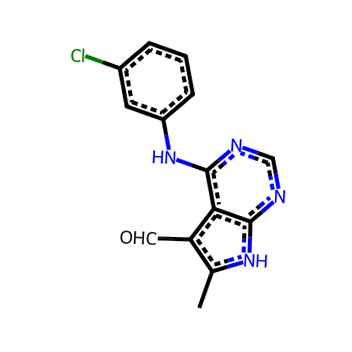 Cc1[nH]c2ncnc(Nc3cccc(Cl)c3)c2c1C=O